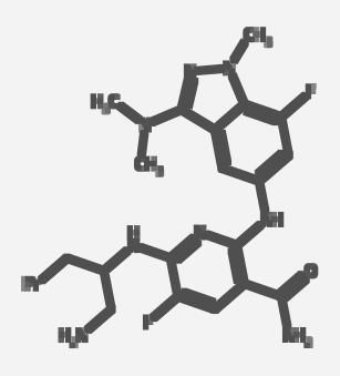 CC(C)CC(CN)Nc1nc(Nc2cc(F)c3c(c2)c(N(C)C)nn3C)c(C(N)=O)cc1F